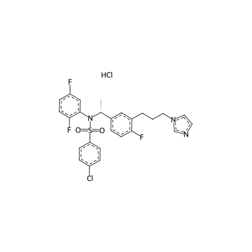 C[C@H](c1ccc(F)c(CCCn2ccnc2)c1)N(c1cc(F)ccc1F)S(=O)(=O)c1ccc(Cl)cc1.Cl